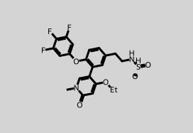 CCOc1cc(=O)n(C)cc1-c1cc(CCN[SH](=O)=O)ccc1Oc1cc(F)c(F)c(F)c1